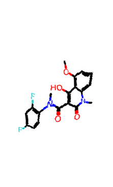 COc1cccc2c1c(O)c(C(=O)N(C)c1ccc(F)cc1F)c(=O)n2C